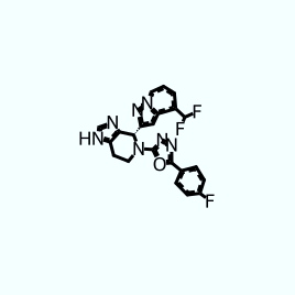 Fc1ccc(-c2nnc(N3CCc4[nH]cnc4[C@@H]3c3cc4c(C(F)F)cccn4n3)o2)cc1